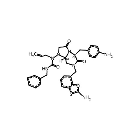 C=CCN(C(=O)NCc1ccccc1)N1CC(=O)N2[C@@H](Cc3ccc(N)cc3)C(=O)N(Cc3cccc4sc(N)nc34)C[C@@H]21